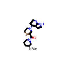 CN[C@@H]1CCCN(C(=O)C2=CN(c3ccnc4[nH]ccc34)CCS2)C1